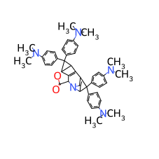 CN(C)c1ccc(C2(c3ccc(N(C)C)cc3)C3=C4C2N4C2C(=O)OC45C2=C3C4C5(c2ccc(N(C)C)cc2)c2ccc(N(C)C)cc2)cc1